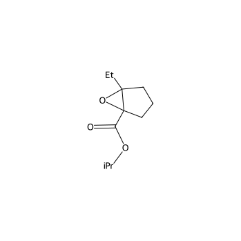 CCC12CCCC1(C(=O)OC(C)C)O2